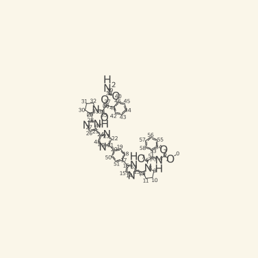 COC(=O)N[C@@H](C(=O)N1CCC[C@H]1c1ncc(-c2ccc(-c3cnc(-c4cnc([C@@H]5CCCN5C(=O)[C@H](OC(N)=O)c5ccccc5)[nH]4)cn3)cc2)[nH]1)c1ccccc1